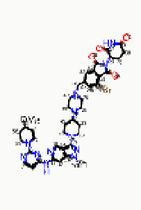 COC1CCN(c2nccc(Nc3cc4c(cn3)c(N3CCC(N5CCN(Cc6cc(Br)c7c(c6)C(=O)N(C6CCC(=O)NC6=O)C7=O)CC5)CC3)nn4C(C)C)n2)CC1